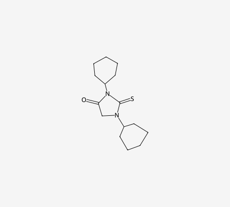 O=C1CN(C2CCCCC2)C(=S)N1C1CCCCC1